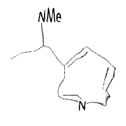 [CH2-][NH2+]C(C)c1cccnc1